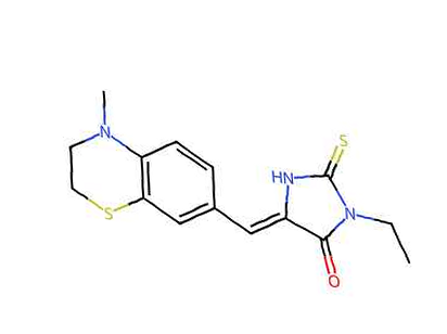 CCN1C(=O)/C(=C/c2ccc3c(c2)SCCN3C)NC1=S